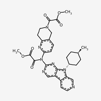 COC(=O)C(=O)N1CCc2nc(N(C(=O)C(=O)OC)c3ncc4c5ccncc5n([C@H]5CC[C@H](C)CC5)c4n3)ccc2C1